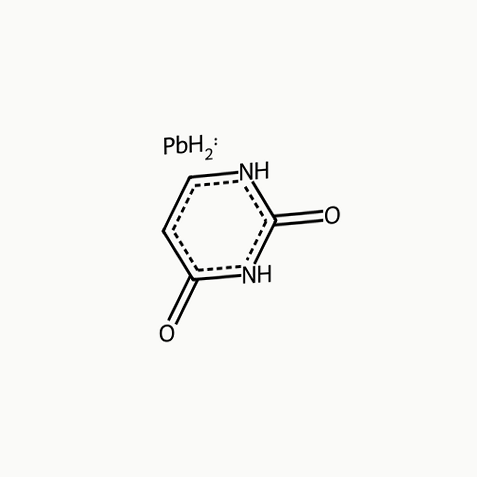 O=c1cc[nH]c(=O)[nH]1.[PbH2]